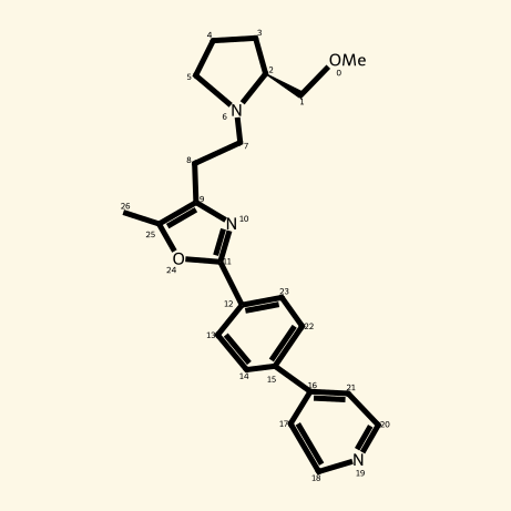 COC[C@@H]1CCCN1CCc1nc(-c2ccc(-c3ccncc3)cc2)oc1C